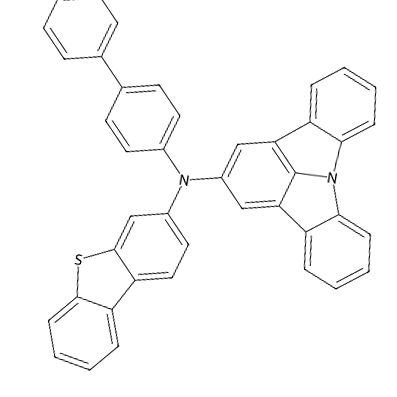 c1ccc(-c2ccc(N(c3ccc4c(c3)sc3ccccc34)c3cc4c5ccccc5n5c6ccccc6c(c3)c45)cc2)cc1